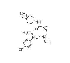 CCC1CCC(NC(=O)[C@H]2CC2CN(C)CCN(CC)c2ccc(Cl)cc2)CC1